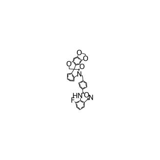 N#Cc1cccc(F)c1NC(=O)c1ccc(CN2C(=O)C3(COc4cc5c(cc43)OCO5)c3ccccc32)cc1